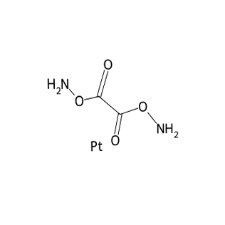 NOC(=O)C(=O)ON.[Pt]